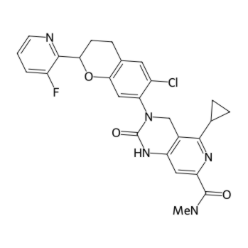 CNC(=O)c1cc2c(c(C3CC3)n1)CN(c1cc3c(cc1Cl)CCC(c1ncccc1F)O3)C(=O)N2